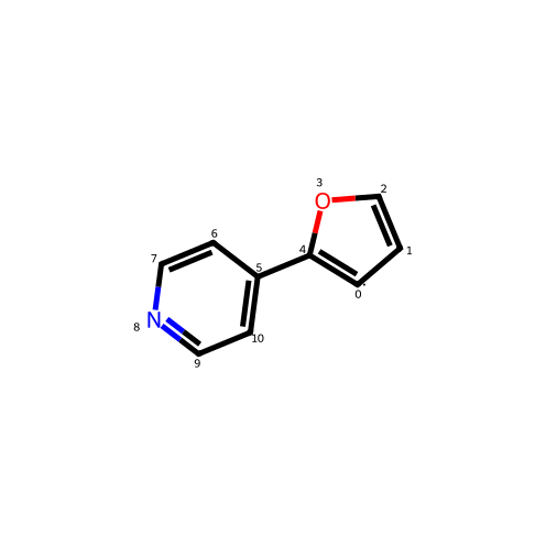 [c]1ccoc1-c1ccncc1